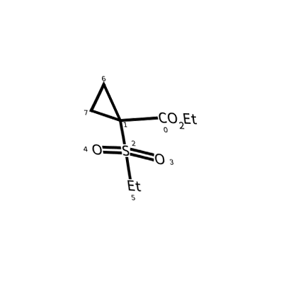 CCOC(=O)C1(S(=O)(=O)CC)CC1